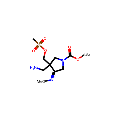 CO/N=C1/CN(C(=O)OC(C)(C)C)CC1(CN)COS(C)(=O)=O